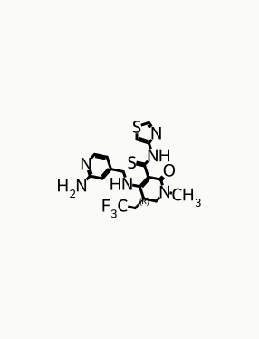 CN1C[C@@H](CC(F)(F)F)C(NCc2ccnc(N)c2)=C(C(=S)Nc2cscn2)C1=O